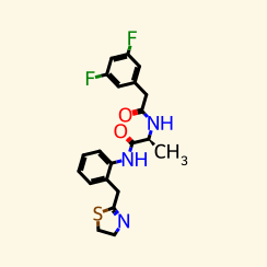 C[C@H](NC(=O)Cc1cc(F)cc(F)c1)C(=O)Nc1ccccc1CC1=NCCS1